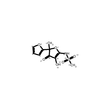 CC1(c2ccco2)OC(NS(C)(=O)=O)=C(O)C1=O